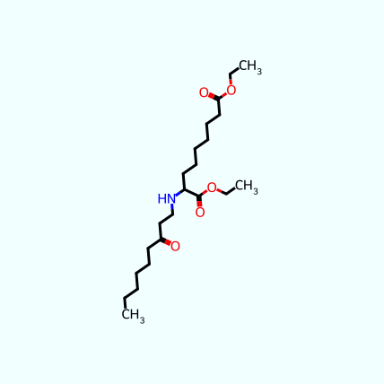 CCCCCCC(=O)CCNC(CCCCCCC(=O)OCC)C(=O)OCC